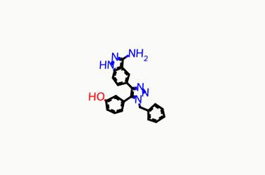 Nc1n[nH]c2ccc(-c3nnn(Cc4ccccc4)c3-c3cccc(O)c3)cc12